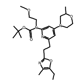 CCc1oc(CCc2cc(N3CCOC(C)C3)cc(N(CCOC)C(=O)OC(C)(C)C)n2)nc1C